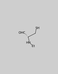 CCN[C@H](C=O)CS